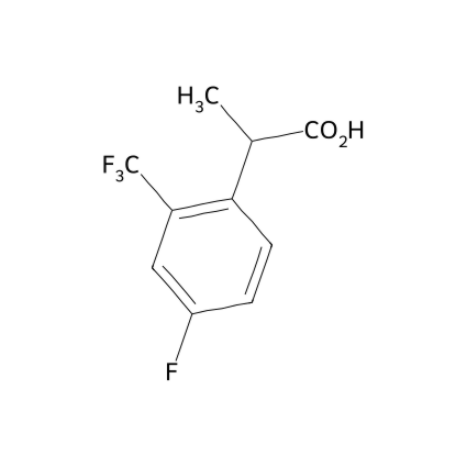 CC(C(=O)O)c1ccc(F)cc1C(F)(F)F